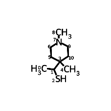 CC(S)C1(C)CCN(C)CC1